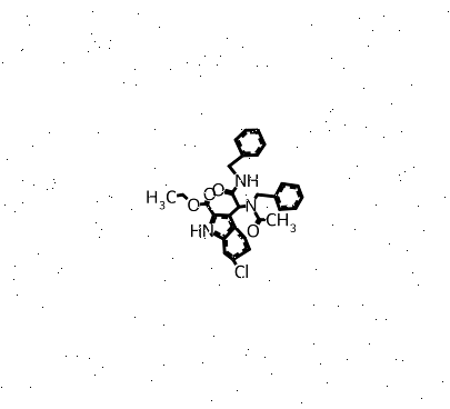 CCOC(=O)c1[nH]c2cc(Cl)ccc2c1C(C(=O)NCc1ccccc1)N(Cc1ccccc1)C(C)=O